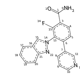 NC(=O)c1ccc(-c2cccnc2)c(-n2cc3ccccc3n2)c1F